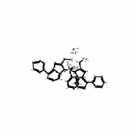 CCC1=Cc2c(-c3ccccc3)cccc2[CH]1[Zr]([CH3])(=[SiH2])([c]1ccccc1)[CH]1C(CC)=Cc2c(-c3ccccc3)cccc21.Cl.Cl